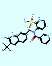 [2H]C([2H])([2H])c1cc2ccc(CN(C(=O)c3cccnc3)c3cccnc3S(C)(=O)=O)cc2nc1N